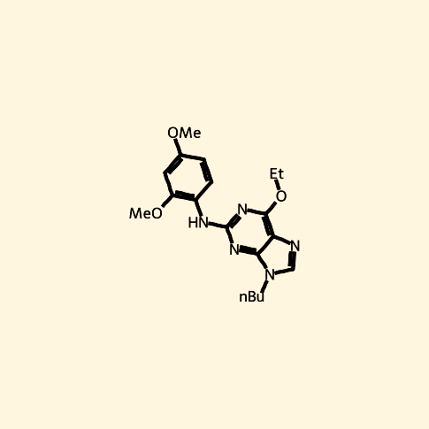 CCCCn1cnc2c(OCC)nc(Nc3ccc(OC)cc3OC)nc21